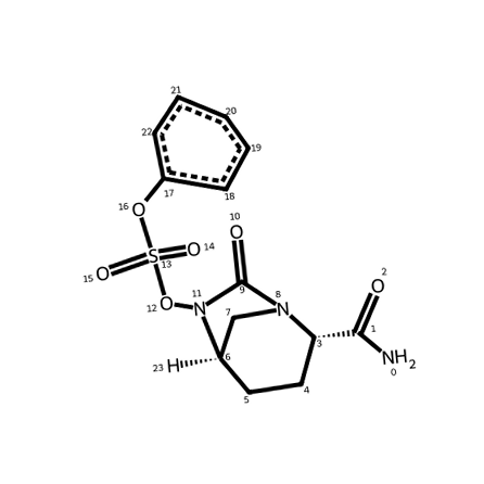 NC(=O)[C@@H]1CC[C@@H]2CN1C(=O)N2OS(=O)(=O)Oc1ccccc1